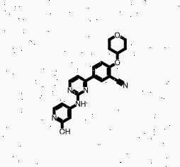 N#Cc1cc(-c2ccnc(Nc3ccnc(O)c3)n2)ccc1OC1CCOCC1